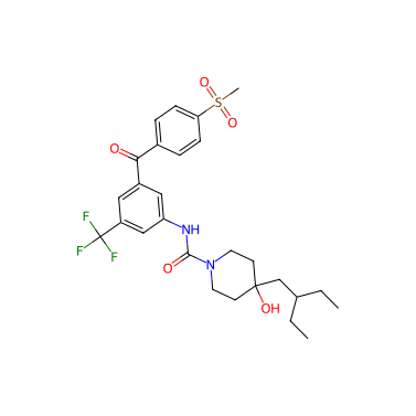 CCC(CC)CC1(O)CCN(C(=O)Nc2cc(C(=O)c3ccc(S(C)(=O)=O)cc3)cc(C(F)(F)F)c2)CC1